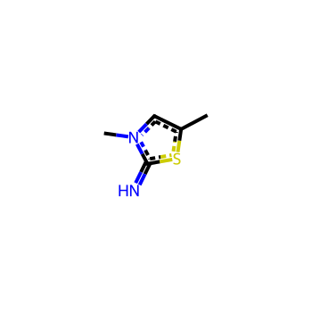 Cc1cn(C)c(=N)s1